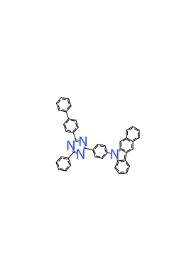 c1ccc(-c2ccc(-c3nc(-c4ccccc4)nc(-c4ccc(-n5c6ccccc6c6cc7ccccc7cc65)cc4)n3)cc2)cc1